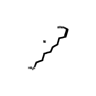 CCCCCC/C=C\CCCCCCCC(=O)O.[Ni]